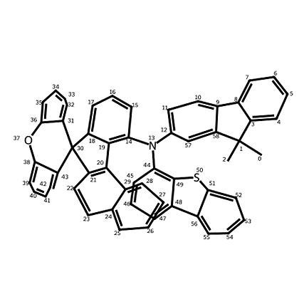 CC1(C)c2ccccc2-c2ccc(N(c3cccc4c3-c3c(ccc5ccccc35)C43c4ccccc4Oc4ccccc43)c3cccc4c3sc3ccccc34)cc21